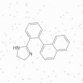 c1ccc(-c2cccc3ccccc23)c(C2=NCCN2)c1